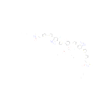 CCCCCCCCN1C(=O)/C(=C/c2ccc(-c3ccc(-c4cc(F)c(-c5ccc(-c6cc(O[Si](CCCCCC)(CCCCCC)CCCCCC)c(-c7ccc(-c8c(F)cc(-c9ccc(-c%10ccc(/C=C%11\SC(=S)N(CCCCCCCC)C%11=O)s%10)s9)c9nsnc89)s7)cc6OC)s5)c5nsnc45)s3)s2)SC1=S